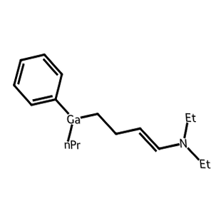 CC[CH2][Ga]([CH2]CC=CN(CC)CC)[c]1ccccc1